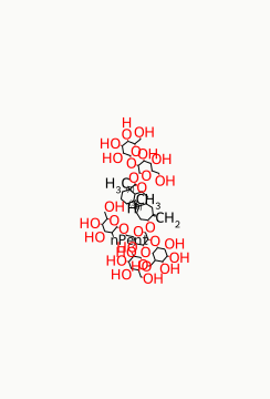 C=C1CC2CCC3[C@](C)(C(=O)OC4OC(CO)C(O)C(O)C4OC4OC(CO)C(O)C(O)C4O)CCC[C@@]3(C)[C@@H]2CCC1OC1OC(COC2OC(CO)C(O)C(O)C2CCCCC)C(O)C(OC2OC(CO)C(O)C(O)C2O)C1OC1CC(CO)C(O)C(O)C1O